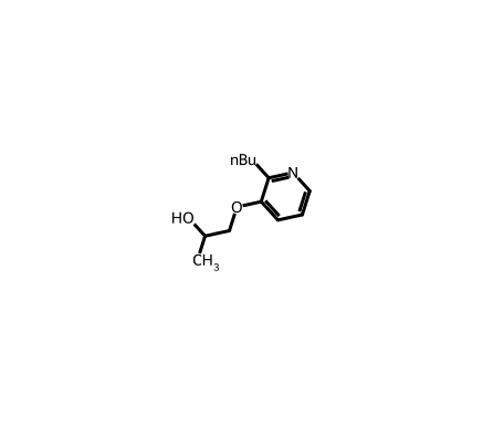 CCCCc1ncccc1OCC(C)O